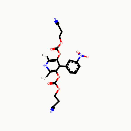 CC1=C(OC(=O)OCCC#N)C(c2cccc([N+](=O)[O-])c2)C(OC(=O)OCCC#N)=C(C)N1